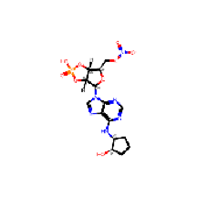 O=[N+]([O-])OC[C@H]1O[C@@H](n2cnc3c(N[C@H]4CCC[C@H]4O)ncnc32)[C@@H]2OP(=O)(O)O[C@@H]21